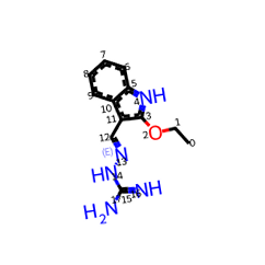 CCOc1[nH]c2ccccc2c1/C=N/NC(=N)N